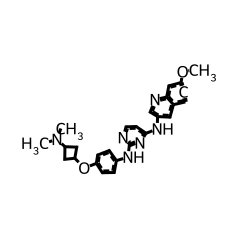 COc1ccc2cc(Nc3ccnc(Nc4ccc(OC5CC(N(C)C)C5)cc4)n3)cnc2c1